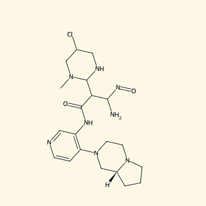 CN1CC(Cl)CNC1C(C(=O)Nc1cnccc1N1CCN2CCC[C@@H]2C1)C(N)N=O